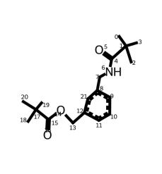 CC(C)(C)C(=O)NCc1cccc(COC(=O)C(C)(C)C)c1